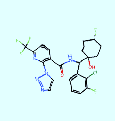 O=C(NC(c1cccc(F)c1Cl)[C@]1(O)CC[C@H](F)CC1)c1ccc(C(F)(F)F)nc1-n1ccnn1